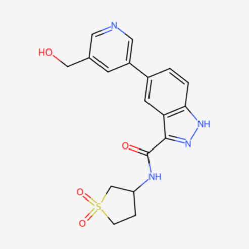 O=C(NC1CCS(=O)(=O)C1)c1n[nH]c2ccc(-c3cncc(CO)c3)cc12